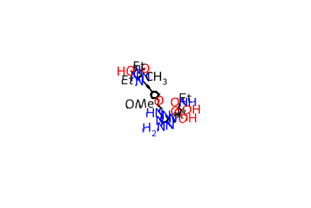 CCNC(=O)C1O[C@@H](n2cnc3c(N)nc(NCCOc4ccc(C#Cc5nc6c(n5C)C(=O)N(CC)C(O)N6CC)cc4OC)nc32)[C@H](O)[C@@H]1O